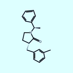 Cc1cccc(C[C@@H]2CCN([C@H](C)c3ccccc3)C2=O)c1